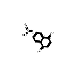 O=C1C=CC(=O)c2ccccc21.O=S(=O)=O